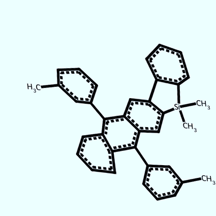 Cc1cccc(-c2c3ccccc3c(-c3cccc(C)c3)c3cc4c(cc23)-c2ccccc2[Si]4(C)C)c1